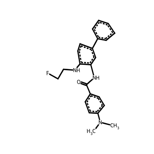 CN(C)c1ccc(C(=O)Nc2cc(-c3ccccc3)ccc2NCCF)cc1